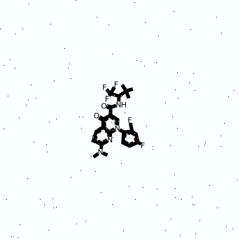 CN(C)c1ccc2c(=O)c(C(=O)NC(C(C)(C)C)C(F)(F)F)cn(-c3ccc(F)cc3F)c2n1